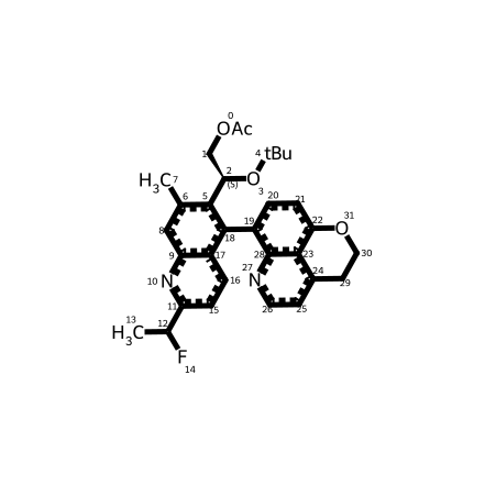 CC(=O)OC[C@@H](OC(C)(C)C)c1c(C)cc2nc(C(C)F)ccc2c1-c1ccc2c3c(ccnc13)CCO2